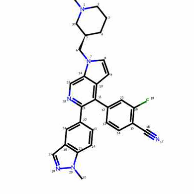 CN1CCC[C@@H](Cn2ccc3c(-c4ccc(C#N)c(F)c4)c(-c4ccc5c(cnn5C)c4)ncc32)C1